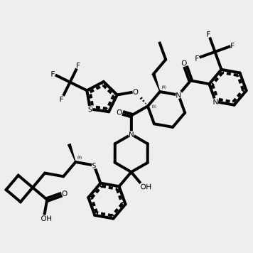 CCC[C@H]1N(C(=O)c2ncccc2C(F)(F)F)CCC[C@@]1(Oc1csc(C(F)(F)F)c1)C(=O)N1CCC(O)(c2ccccc2S[C@H](C)CCC2(C(=O)O)CCC2)CC1